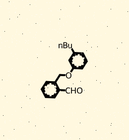 CCCCc1cccc(OCc2ccccc2C=O)c1